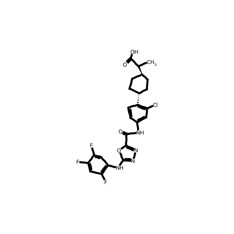 CC(C(=O)O)[C@H]1CC[C@H](c2ccc(NC(=O)c3nnc(Nc4cc(F)c(F)cc4F)o3)cc2Cl)CC1